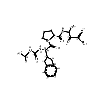 CCCC(NC(=O)[C@@H]1CCCN1C(=O)[C@@H](NC(=O)OC(C)C(C)C)C1Cc2ccccc2C1)C(=O)C(N)=O